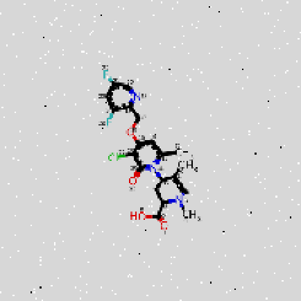 CC1=CN(C)C(C(=O)O)CC1n1c(C)cc(OCc2ncc(F)cc2F)c(Cl)c1=O